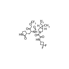 CC1(C)[C@@H]2[C@@H](C(=O)NC(C[C@@H]3CCNC3=O)C(=O)COC(F)(F)F)N(C(=O)C(=O)NC3CC(F)(F)C3)C[C@@H]21